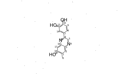 Cc1cc2ncc(-c3ccc(O)c(O)c3)nc2cc1O